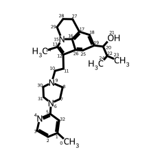 Cc1ccnc(N2CCN(CCc3c(C)n4c5c(cc(C(O)C(C)C)cc35)CCC4)CC2)c1